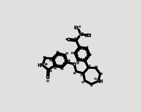 CCN(CC)C(=O)c1ccc(C2CCNCCC2COc2ccc3c(c2)C(=O)NC3)cc1